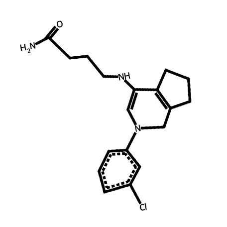 NC(=O)CCCNC1=CN(c2cccc(Cl)c2)CC2=C1CCC2